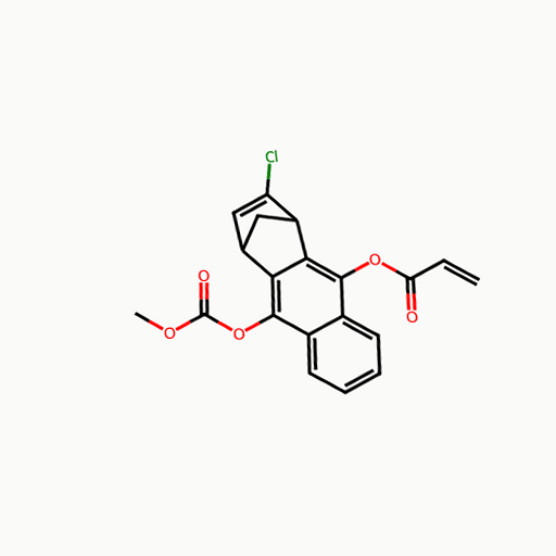 C=CC(=O)Oc1c2c(c(OC(=O)OC)c3ccccc13)C1C=C(Cl)C2C1